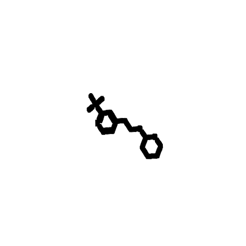 [CH3][Sn]([CH3])([CH3])[c]1cc(CCOC2CCCCO2)ccn1